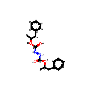 CC(Cc1ccccc1)OC(=O)/N=N/C(=O)OC(C)Cc1ccccc1